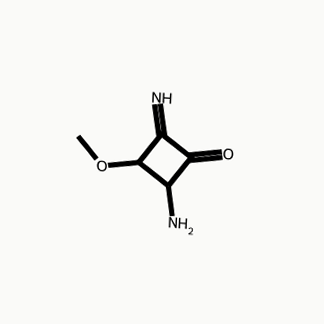 COC1C(=N)C(=O)C1N